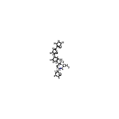 C=C(S/C(=C\C)c1ccco1)c1ccc(-c2ccc(-c3ccco3)s2)s1